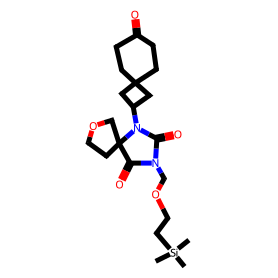 C[Si](C)(C)CCOCN1C(=O)N(C2CC3(CCC(=O)CC3)C2)C2(CCOC2)C1=O